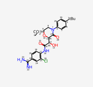 CC(=O)O.CC(C)(C)c1ccc(N2CCO[C@H]([C@@H](O)C(=O)Nc3ccc(C(=N)N)cc3Cl)C2=O)cc1